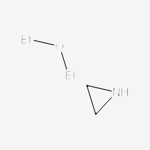 C1CN1.CCOCC